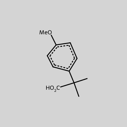 COc1ccc(C(C)(C)C(=O)O)cc1